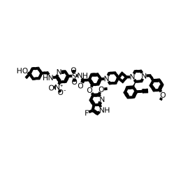 C#Cc1ccccc1[C@@H]1CN(Cc2ccc(OC)cc2)CCN1C1CC2(CCN(c3ccc(C(=O)NS(=O)(=O)c4cnc(NCC5CCC(C)(O)CC5)c([N+](=O)[O-])c4)c(Oc4cc5c(F)c[nH]c5nc4OC)c3)CC2)C1